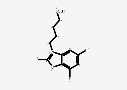 Cc1oc2c(F)cc(F)cc2[n+]1CCCCS(=O)(=O)O